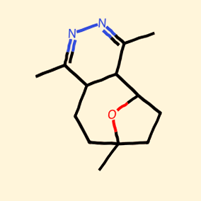 CC1=NN=C(C)C2C3CCC(C)(CCC12)O3